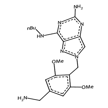 CCCCNc1nc(N)nc2cn(Cc3c(OC)cc(CN)cc3OC)nc12